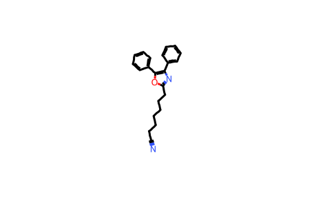 N#CCCCCCCc1nc(-c2ccccc2)c(-c2ccccc2)o1